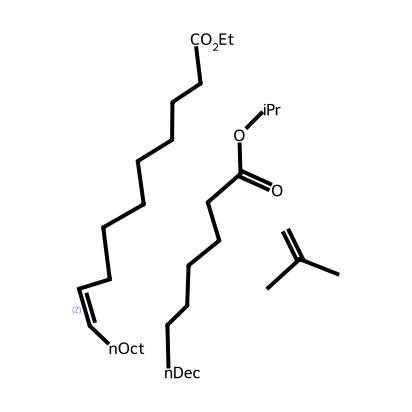 C=C(C)C.CCCCCCCC/C=C\CCCCCCCC(=O)OCC.CCCCCCCCCCCCCCCC(=O)OC(C)C